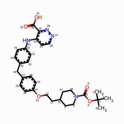 CC(C)(C)OC(=O)N1CCC(CCOc2ccc(Cc3ccc(Nc4ccnnc4C(=O)O)cc3)cc2)CC1